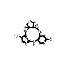 FC(F)(F)c1cnc2nc1N[C@@H]1COC[C@H]1COc1cc(Cl)ncc1N2